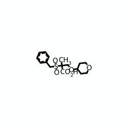 CC(COC1CCOCC1)(C(=O)O)S(=O)(=O)Cc1ccccc1